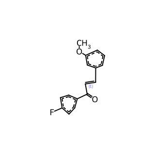 COc1cccc(/C=C/C(=O)c2ccc(F)cc2)c1